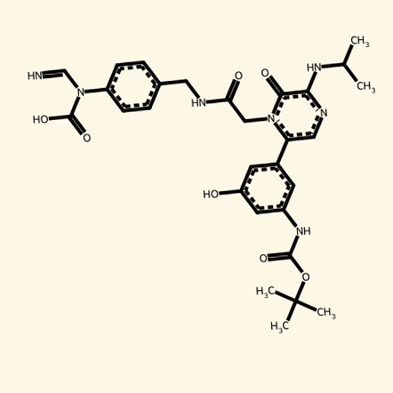 CC(C)Nc1ncc(-c2cc(O)cc(NC(=O)OC(C)(C)C)c2)n(CC(=O)NCc2ccc(N(C=N)C(=O)O)cc2)c1=O